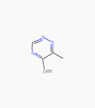 COc1ncnnc1C